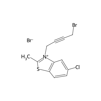 Cc1sc2ccc(Cl)cc2[n+]1CC#CCBr.[Br-]